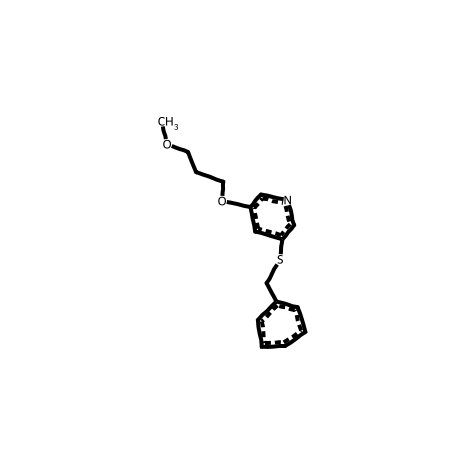 COCCCOc1cncc(SCc2ccccc2)c1